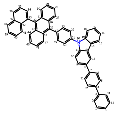 c1ccc(-c2ccc(-c3ccc4c(c3)c3ccccc3n4-c3ccc(-c4c5ccccc5c(-c5cccc6ccccc56)c5ccccc45)cc3)cc2)cc1